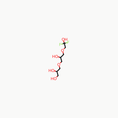 OCC(O)COCC(O)COCC(O)(F)F